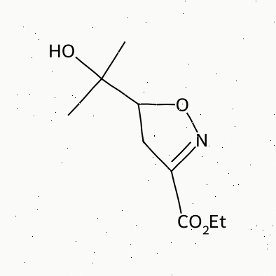 CCOC(=O)C1=NOC(C(C)(C)O)C1